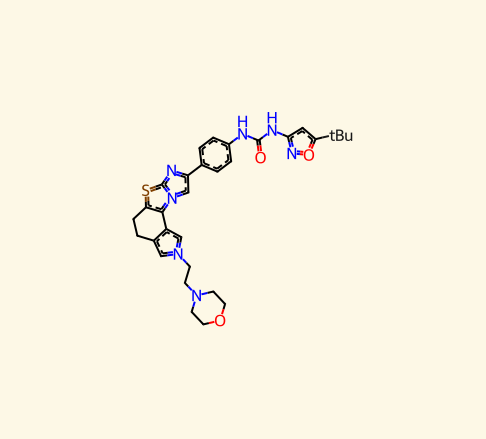 CC(C)(C)c1cc(NC(=O)Nc2ccc(-c3cn4c5c(sc4n3)CCc3cn(CCN4CCOCC4)cc3-5)cc2)no1